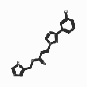 O=C(C=Cn1cnc(-c2cccc(Cl)c2)n1)OCc1cnc[nH]1